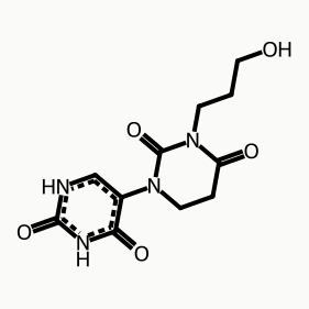 O=C1CCN(c2c[nH]c(=O)[nH]c2=O)C(=O)N1CCCO